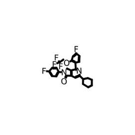 O=C1c2cc(C3CCCCC3)nc(-c3ccc(F)cc3OCC(F)(F)F)c2CN1c1ccc(F)cc1